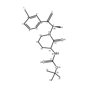 C=C(c1cccc(I)c1)[C@@H](C)N1CCCC(NC(=O)OC(C)(C)C)C1=O